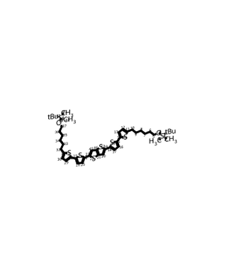 CC(C)(C)[Si](C)(C)OCCCCCCc1ccc(-c2ccc(-c3cc4sc(-c5ccc(-c6ccc(CCCCCCO[Si](C)(C)C(C)(C)C)s6)s5)cc4s3)s2)s1